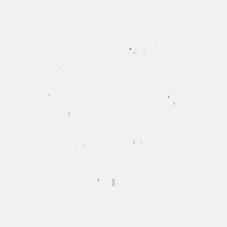 CC(C)(C)NC[C@H](O)COc1nsnc1N1CCOCC1.CC(C)NCC(O)COc1cccc2[nH]ccc12